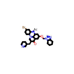 CC(=O)N1c2cc(Br)ccc2-n2cc(Cc3cccnc3)c(=O)c3cc(OCn4nnc5ccccc54)cc1c32